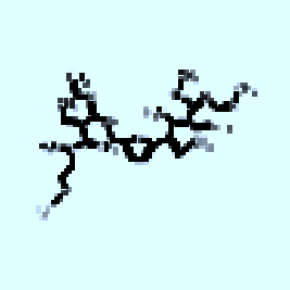 C=C/N=C(NCc1ccc(C(=C/C)/C(C)=C(C=C)/C(=N\C=N/C)NC)s1)\C(=C/C)C(=C)N(C)CCOC